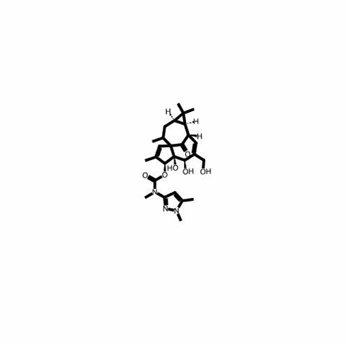 CC1=CC23C(=O)[C@@H](C=C(CO)[C@@H](O)[C@]2(O)[C@H]1OC(=O)N(C)c1cc(C)n(C)n1)[C@H]1[C@@H](CC3C)C1(C)C